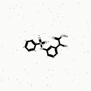 COC(=O)C(c1cccc(OS(=O)(=O)c2ccccc2)c1)C(C)C